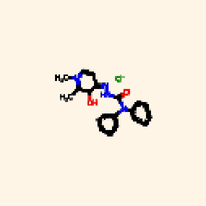 CC1=[N+](C)C=CC(=NNC(=O)N(c2ccccc2)c2ccccc2)C1O.[Cl-]